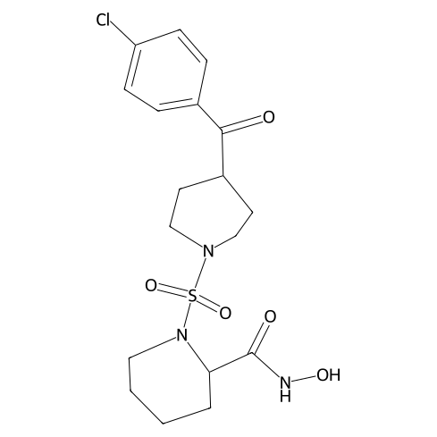 O=C(c1ccc(Cl)cc1)C1CCN(S(=O)(=O)N2CCCCC2C(=O)NO)CC1